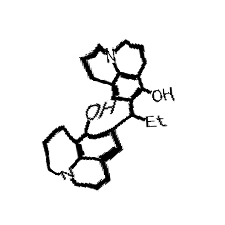 CCC(c1cc2c3c(c1O)CCCN3CCC2)c1cc2c3c(c1O)CCCN3CCC2